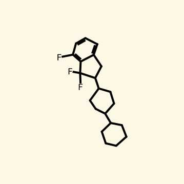 Fc1cccc2c1C(F)(F)C(C1CCC(C3CCCCC3)CC1)C2